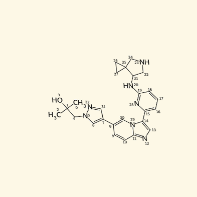 CC(C)(O)Cn1cc(-c2ccc3ncc(-c4cccc(NC5CNCC56CC6)n4)n3c2)cn1